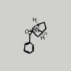 c1ccc(C2O[C@@]23C[C@H]2CC[C@@H](C3)N2)cc1